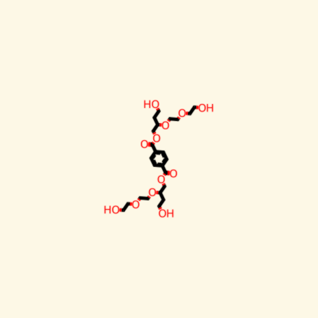 O=C(OCC(CCO)OCCOCCO)c1ccc(C(=O)OCC(CCO)OCCOCCO)cc1